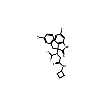 CCC(CC)N(CC(=O)NC1CCC1)C1(Cc2cccc(Cl)c2)C(=O)Nc2cc(Cl)ccc21